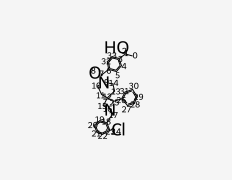 CC(O)c1ccc(C(=O)N2CCC3(CC2)CN(Cc2ccccc2Cl)C3c2ccccc2)cc1